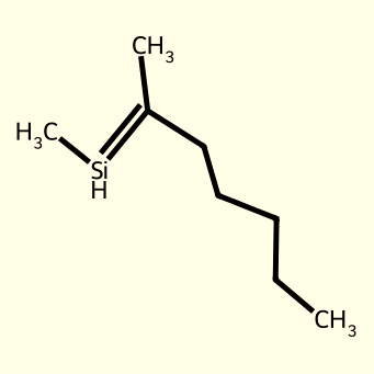 CCCCCC(C)=[SiH]C